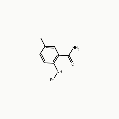 CCNc1ccc(C)cc1C(N)=O